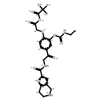 CCNC(=O)Oc1cc(C(=O)CNC(=O)c2cc3c(s2)CCNC3)ccc1OCC(=O)OC(=O)C(F)(F)F